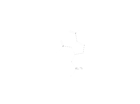 O=C(O)CC1CC=C(C(=O)O)C1C(=O)O